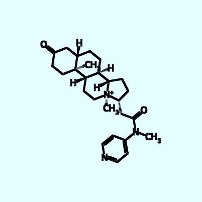 CN(C(=O)C[C@H]1CC[C@H]2[C@@H]3CC[C@H]4CC(=O)CC[C@]4(C)[C@H]3CC[N@+]12C)c1ccncc1